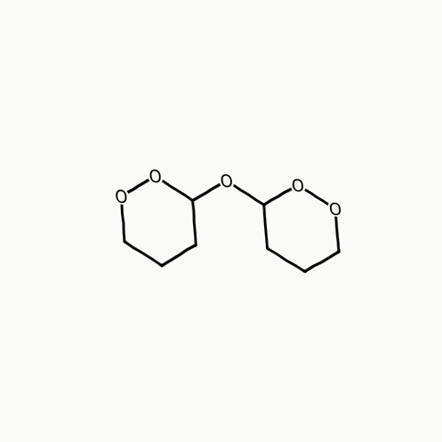 C1COOC(OC2CCCOO2)C1